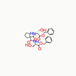 O=C(OCc1ccccc1)[C@@H](CO)NC(=O)C1(C(=O)N[C@H](CO)C(=O)OCc2ccccc2)CCCC1